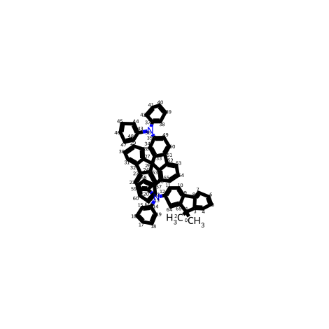 CC1(C)c2ccccc2-c2ccc(N(c3ccccc3)c3ccc4c(c3)C3(c5ccccc5-4)c4cc(N(c5ccccc5)c5ccccc5)ccc4-c4cccc(-c5ccccc5)c43)cc21